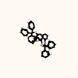 c1ccc(C(Oc2ccc(OC(c3ccccc3)(c3ccccc3)c3ccccc3)cc2)(c2ccccc2)c2ccccc2)cc1